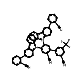 N#Cc1cc(-c2cc(-n3c4ccccc4c4cc(-c5ccccc5C#N)ccc43)c(-n3c4ccccc4c4cc(-c5ccccc5C#N)ccc43)cc2C#N)cc(C(F)(F)F)c1